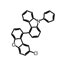 Clc1ccc2oc3cccc(-c4cccc5c4c4ccccc4n5-c4ccccc4)c3c2c1